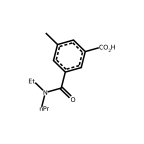 CCCN(CC)C(=O)c1cc(C)cc(C(=O)O)c1